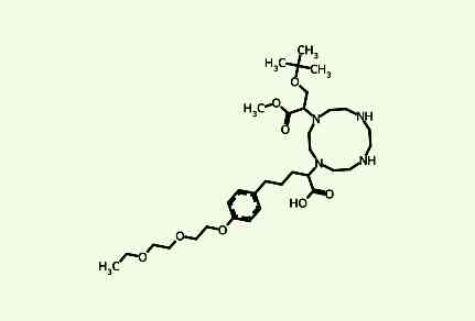 CCOCCOCCOc1ccc(CCCC(C(=O)O)N2CCNCCNCCN(C(COC(C)(C)C)C(=O)OC)CC2)cc1